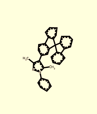 Cc1nn(-c2ccccc2)c(C)c1-c1ccc2c(c1)C1(c3ccccc3-c3ccccc31)c1ccccc1-2